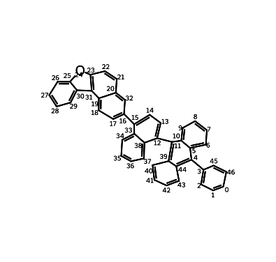 c1ccc(-c2c3ccccc3c(-c3ccc(-c4ccc5c(ccc6oc7ccccc7c65)c4)c4ccccc34)c3ccccc23)cc1